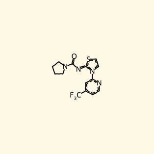 O=C(/N=c1\sccn1-c1cc(C(F)(F)F)ccn1)N1CCCC1